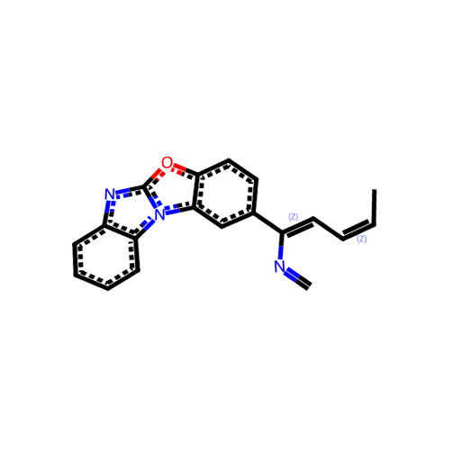 C=N/C(=C\C=C/C)c1ccc2oc3nc4ccccc4n3c2c1